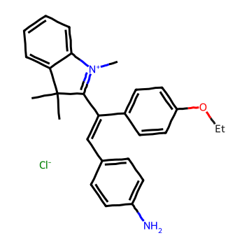 CCOc1ccc(C(=Cc2ccc(N)cc2)C2=[N+](C)c3ccccc3C2(C)C)cc1.[Cl-]